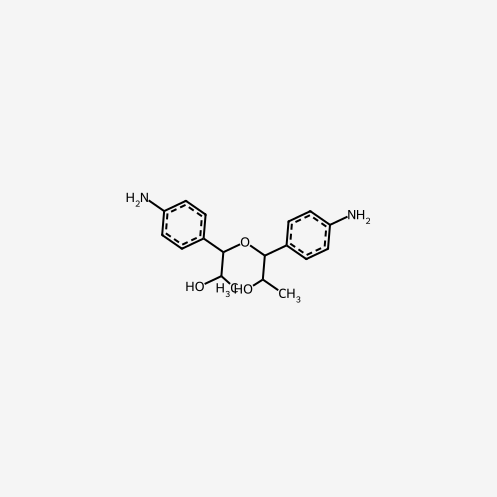 CC(O)C(OC(c1ccc(N)cc1)C(C)O)c1ccc(N)cc1